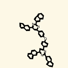 c1ccc2cc(-c3cc(-c4ccc(Oc5ccc(-c6cc(-c7ccc8ccccc8c7)nc(-c7ccc8ccccc8c7)n6)cc5)cc4)nc(-c4ccc5ccccc5c4)n3)ccc2c1